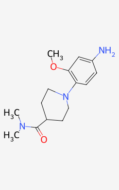 COc1cc(N)ccc1N1CCC(C(=O)N(C)C)CC1